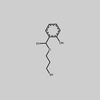 CCC(OCCCS)c1ccccc1O